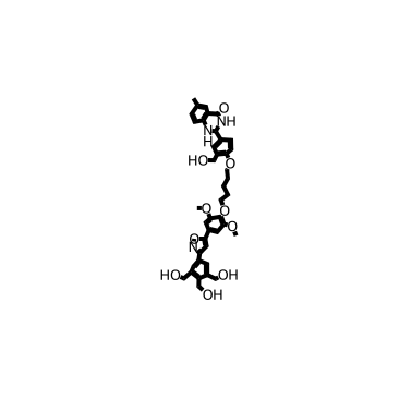 COc1cc(-c2cc(-c3cc(CO)c(CO)c(CO)c3)no2)cc(OC)c1OCCCCCOc1ccc(C2NC(=O)c3cc(C)ccc3N2)cc1CO